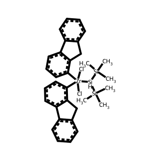 C[Si](C)(C)[SiH]([Si](C)(C)C)[Zr]([Cl])([Cl])([c]1cccc2c1Cc1ccccc1-2)[c]1cccc2c1Cc1ccccc1-2